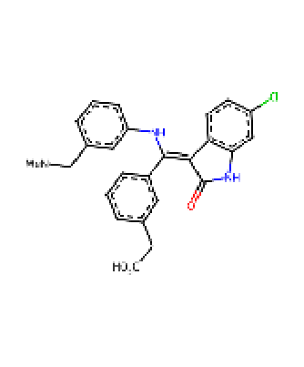 CNCc1cccc(NC(=C2C(=O)Nc3cc(Cl)ccc32)c2cccc(CC(=O)O)c2)c1